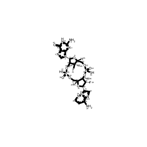 Nc1nc2c(ncn2[C@@H]2O[C@@H]3COP(=O)(S)O[C@H]4[C@H](F)[C@H](c5cnc6c(N)ccnn56)O[C@@H]4COP(=O)(S)O[C@@H]2[C@@H]3F)c(=O)[nH]1